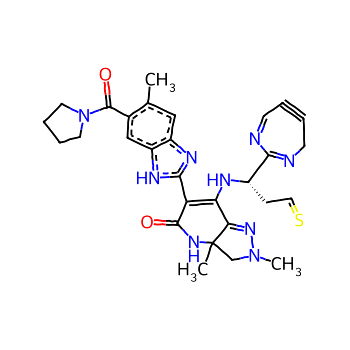 Cc1cc2nc(C3=C(N[C@@H](CC=S)C4=NCC#CC=N4)C4=NN(C)CC4(C)NC3=O)[nH]c2cc1C(=O)N1CCCC1